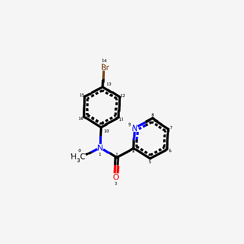 CN(C(=O)c1ccccn1)c1ccc(Br)cc1